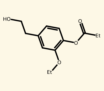 CCOc1cc(CCO)ccc1OC(=O)CC